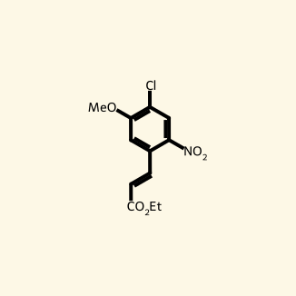 CCOC(=O)C=Cc1cc(OC)c(Cl)cc1[N+](=O)[O-]